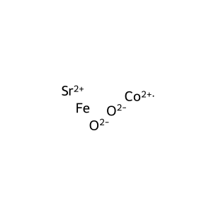 [Co+2].[Fe].[O-2].[O-2].[Sr+2]